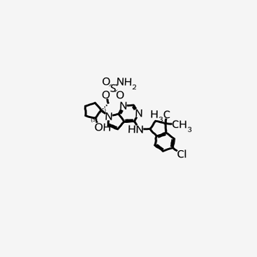 CC1(C)CC(Nc2ncnc3c2ccn3[C@]2(COS(N)(=O)=O)CCC[C@@H]2O)c2ccc(Cl)cc21